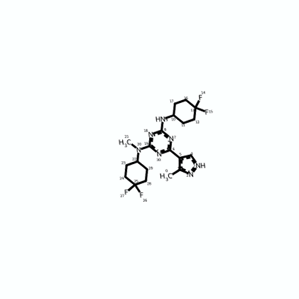 Cc1n[nH]cc1-c1nc(NC2CCC(F)(F)CC2)nc(N(C)C2CCC(F)(F)CC2)n1